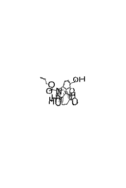 C=CCOC(=O)N1CC[C@]23c4c5ccc(CO)c4O[C@H]2C(=O)CC[C@@]3(O)[C@H]1C5